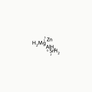 [AlH3].[MgH2].[SrH2].[Zn]